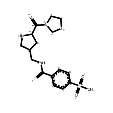 CS(=O)(=O)c1ccc(C(=O)NCC2CNC(C(=O)N3CCSC3)C2)cc1